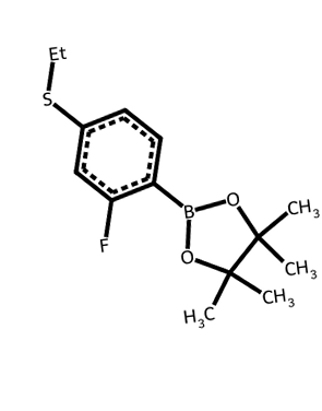 CCSc1ccc(B2OC(C)(C)C(C)(C)O2)c(F)c1